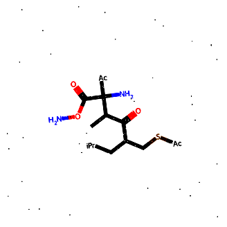 CC(=O)SCC(CC(C)C)C(=O)C(C)C(N)(C(C)=O)C(=O)ON